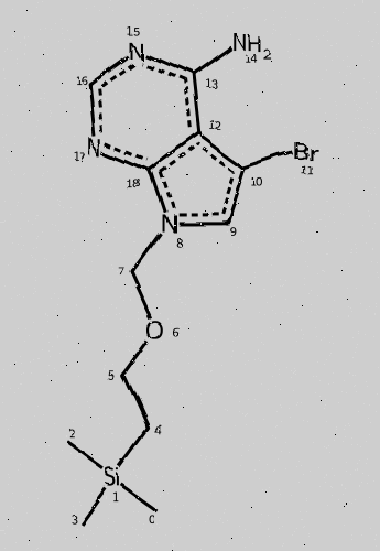 C[Si](C)(C)CCOCn1cc(Br)c2c(N)ncnc21